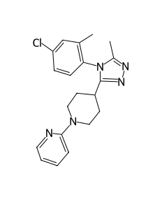 Cc1cc(Cl)ccc1-n1c(C)nnc1C1CCN(c2ccccn2)CC1